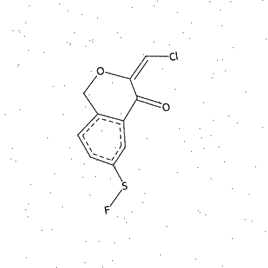 O=C1C(=CCl)OCc2ccc(SF)cc21